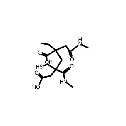 CCC(CC(=O)NC)(CC(CS)(CC(=O)O)C(=O)NC)C(=O)O